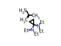 C=C(C)[SiH3].CCN(CC)C1(N(CC)CC)CC1